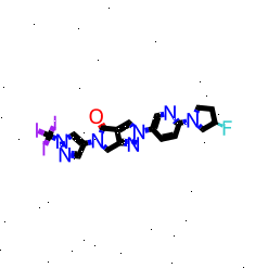 O=C1c2cn(-c3ccc(N4CC[C@@H](F)C4)nc3)nc2CN1c1cnn(C(I)(I)I)c1